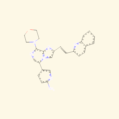 Nc1ccc(-c2cnc(N3CCOCC3)c3nc(C=Cc4ccc5ccccc5n4)cn23)cn1